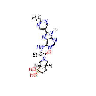 CC[C@H](Nc1ncnc2c1nc(-c1cnc(C)nc1)n2CC)C(=O)N1C[C@@H]2CCS(O)(O)[C@@H]2C1